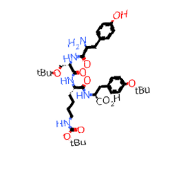 CC(C)(C)OC[C@H](NC(=O)[C@@H](N)Cc1ccc(O)cc1)C(=O)N[C@@H](CCCCNC(=O)OC(C)(C)C)C(=O)N[C@@H](Cc1ccc(OC(C)(C)C)cc1)C(=O)O